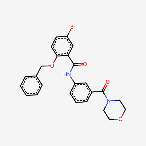 O=C(Nc1cccc(C(=O)N2CCOCC2)c1)c1cc(Br)ccc1OCc1ccccc1